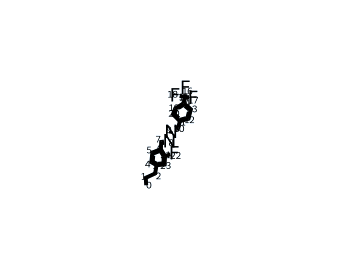 CCCc1ccc(/C=N/N=C/c2ccc(C(F)(F)F)cc2)c(F)c1